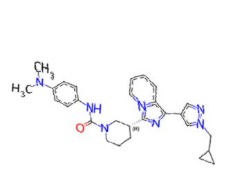 CN(C)c1ccc(NC(=O)N2CCC[C@@H](c3nc(-c4cnn(CC5CC5)c4)c4ccccn34)C2)cc1